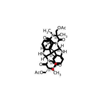 CC(=O)OC[C@]12SS[C@@]3(C[C@]4([C@]56C[C@]7(SS)C(=O)N(C)[C@](C)(COC(C)=O)C(=O)N7[C@H]5Nc5ccccc56)c5ccccc5N[C@@H]4N3C1=O)C(=O)N2C